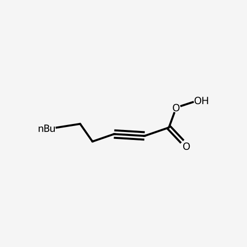 CCCCCCC#CC(=O)OO